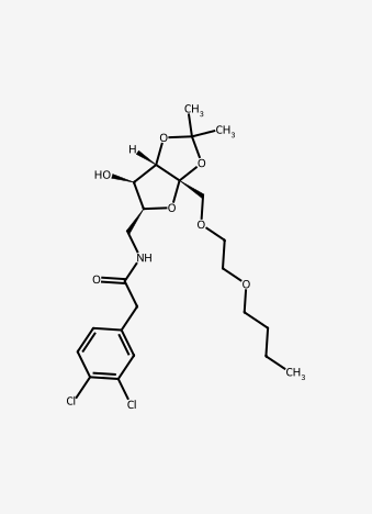 CCCCOCCOC[C@@]12O[C@@H](CNC(=O)Cc3ccc(Cl)c(Cl)c3)[C@@H](O)[C@@H]1OC(C)(C)O2